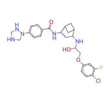 O=C(NC1CC(NC(O)COc2ccc(Cl)c(F)c2)C2CC1C2)c1ccc(N2CNCN2)cc1